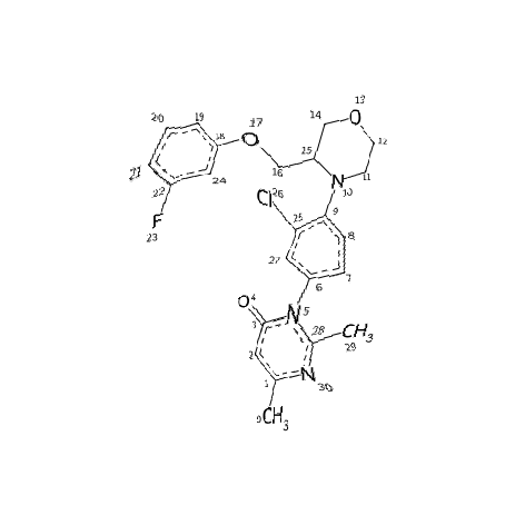 Cc1cc(=O)n(-c2ccc(N3CCOCC3COc3cccc(F)c3)c(Cl)c2)c(C)n1